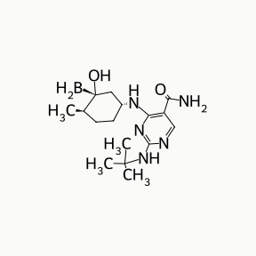 B[C@@]1(O)C[C@H](Nc2nc(NC(C)(C)C)ncc2C(N)=O)CC[C@H]1C